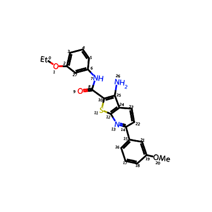 CCOc1cccc(NC(=O)c2sc3nc(-c4cccc(OC)c4)ccc3c2N)c1